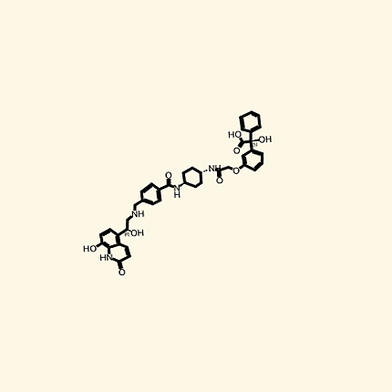 O=C(COc1cccc([C@](O)(C(=O)O)c2ccccc2)c1)N[C@H]1CC[C@H](NC(=O)c2ccc(CNC[C@H](O)c3ccc(O)c4[nH]c(=O)ccc34)cc2)CC1